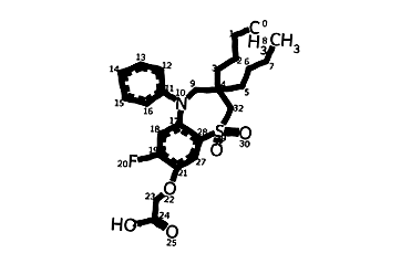 CCCCC1(CCCC)CN(c2ccccc2)c2cc(F)c(OCC(=O)O)cc2S(=O)(=O)C1